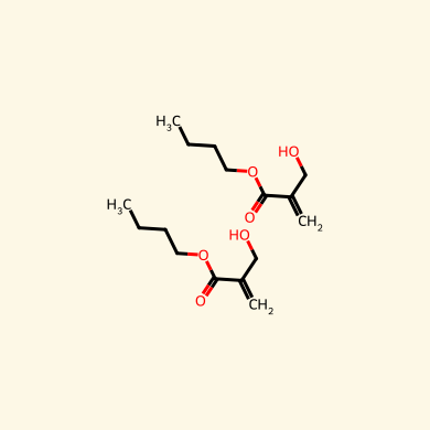 C=C(CO)C(=O)OCCCC.C=C(CO)C(=O)OCCCC